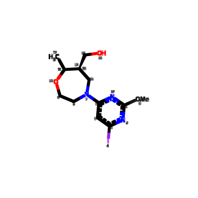 COc1nc(I)cc(N2CCOC(C)[C@@H](CO)C2)n1